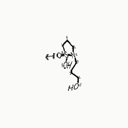 OCCCN1CCCS1(O)O